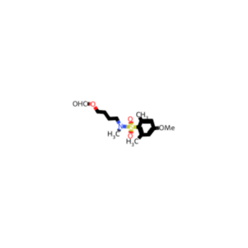 COc1cc(C)c(S(=O)(=O)N(C)CCCCOC=O)c(C)c1